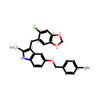 CCOC(=O)c1[nH]c2ccc(OCc3ccc(OC)cc3)cc2c1Cc1cc2c(cc1Cl)OCO2